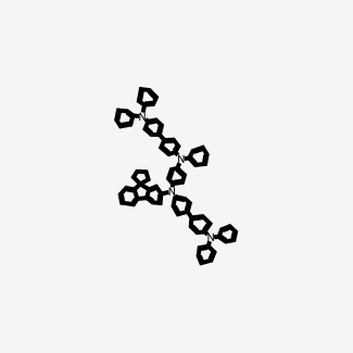 c1ccc(N(c2ccccc2)c2ccc(-c3ccc(N(c4ccccc4)c4ccc(N(c5ccc(-c6ccc(N(c7ccccc7)c7ccccc7)cc6)cc5)c5ccc6c(c5)C5(CCCC5)c5ccccc5-6)cc4)cc3)cc2)cc1